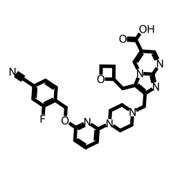 N#Cc1ccc(COc2cccc(N3CCN(Cc4nc5ncc(C(=O)O)cn5c4CC4CCO4)CC3)n2)c(F)c1